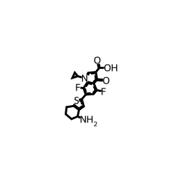 NC1CCCc2sc(-c3cc(F)c4c(=O)c(C(=O)O)cn(C5CC5)c4c3F)cc21